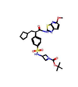 COc1ccc2nc(NC(=O)C(CC3CCCC3)c3ccc(S(=O)(=O)NC4CN(C(=O)OC(C)(C)C)C4)cc3)sc2n1